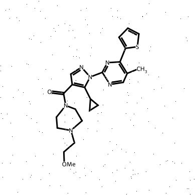 COCCN1CCN(C(=O)c2cnn(-c3ncc(C)c(-c4cccs4)n3)c2C2CC2)CC1